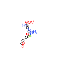 Nc1nc(OC(c2ccc(-c3ccc4c(c3)OC(=O)CC4)cc2)C(F)(F)F)cc(N2CCC3(CC2)CN[C@H](C(=O)O)C3)n1